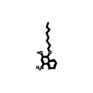 CCCCCCCCOc1c(OC)cc(N)c2ncccc12